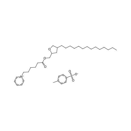 CCCCCCCCCCCCCCC1COC(COC(=O)CCCCC[n+]2ccccc2)C1.Cc1ccc(S(=O)(=O)[O-])cc1